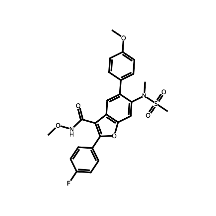 CONC(=O)c1c(-c2ccc(F)cc2)oc2cc(N(C)S(C)(=O)=O)c(-c3ccc(OC)cc3)cc12